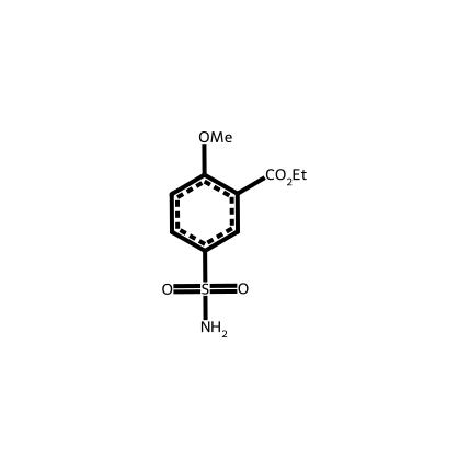 CCOC(=O)c1cc(S(N)(=O)=O)ccc1OC